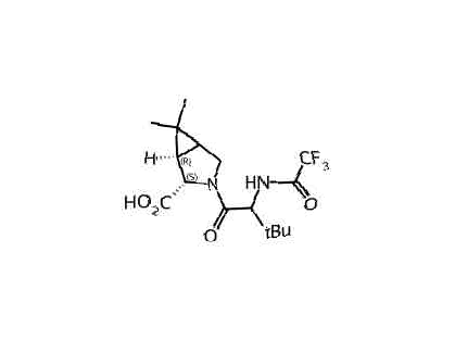 CC(C)(C)C(NC(=O)C(F)(F)F)C(=O)N1CC2[C@@H]([C@H]1C(=O)O)C2(C)C